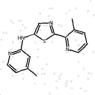 Cc1ccnc(Nc2cnc(-c3ncccc3C)s2)c1